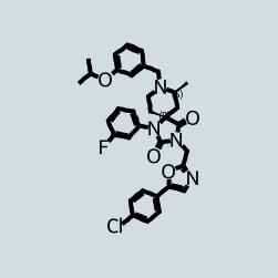 CC(C)Oc1cccc(CN2CC[C@@]3(C[C@@H]2C)C(=O)N(Cc2ncc(-c4ccc(Cl)cc4)o2)C(=O)N3c2cccc(F)c2)c1